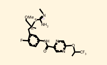 C/N=C(/N)S[C@@](C)(COC)Cc1cc(NC(=O)c2cnc(OC(C)C(F)(F)F)cn2)ccc1F